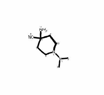 CN(C)N1CCC(N)(C#N)CC1